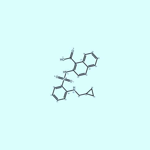 O=C(O)c1c(NS(=O)(=O)c2ccccc2NCC2CC2)ccc2ccccc12